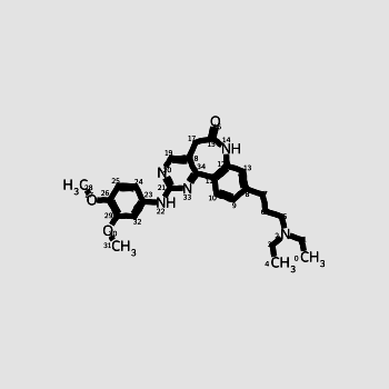 CCN(CC)CCCc1ccc2c(c1)NC(=O)Cc1cnc(Nc3ccc(OC)c(OC)c3)nc1-2